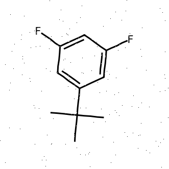 CC(C)(C)c1cc(F)cc(F)c1